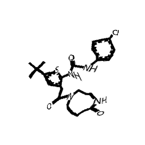 CC(C)(C)c1cc(C(=O)N2CCNC(=O)CC2)c(NC(=O)Nc2ccc(Cl)cc2)s1